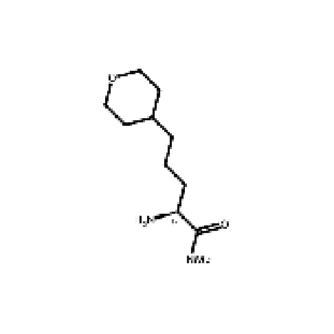 CNC(=O)[C@@H](N)CCCC1CCOCC1